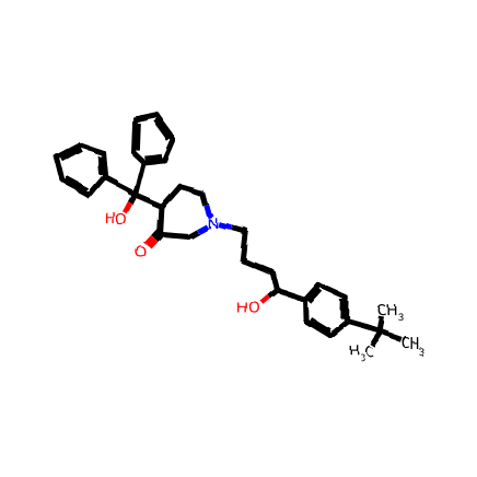 CC(C)(C)c1ccc(C(O)CCCN2CCC(C(O)(c3ccccc3)c3ccccc3)C(=O)C2)cc1